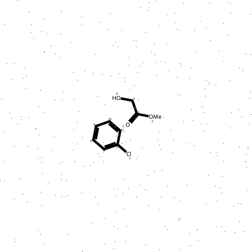 COC(=O)CO.Clc1ccccc1